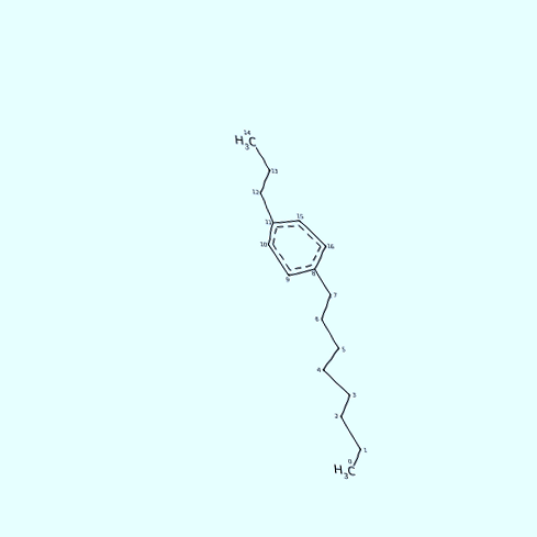 CCCCCCC[CH]c1ccc(CCC)cc1